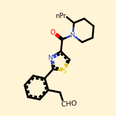 CCCC1CCCCN1C(=O)c1csc(-c2ccccc2CC=O)n1